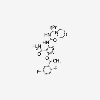 CCCC(NC(=O)Nc1snc(OC(C)c2cc(F)ccc2F)c1C(N)=O)N1CCOCC1